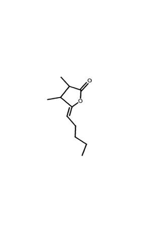 CCCCC=C1OC(=O)C(C)C1C